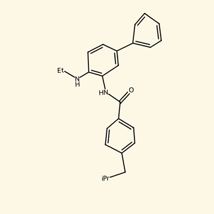 CCNc1ccc(-c2ccccc2)cc1NC(=O)c1ccc(CC(C)C)cc1